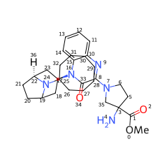 COC(=O)C1(N)CCN(c2nc3ccccc3n([C@H]3CC4CC[C@@H](C3)N4C3CCCCCCC3)c2=O)C1